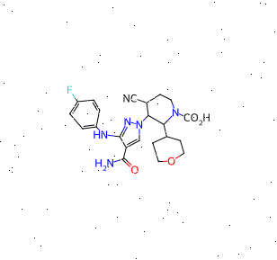 N#CC1CCN(C(=O)O)C(C2CCOCC2)C1n1cc(C(N)=O)c(Nc2ccc(F)cc2)n1